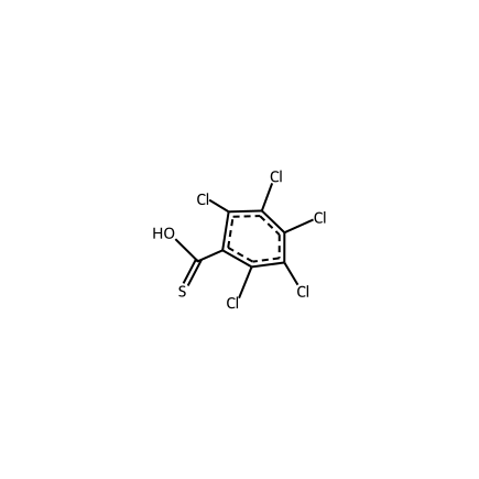 OC(=S)c1c(Cl)c(Cl)c(Cl)c(Cl)c1Cl